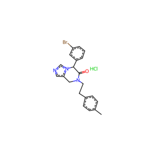 Cc1ccc(CCN2Cc3cncn3C(c3cccc(Br)c3)C2=O)cc1.Cl